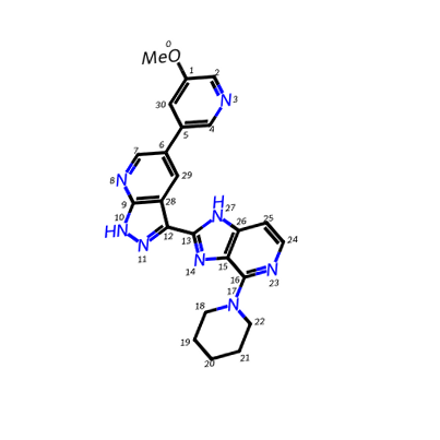 COc1cncc(-c2cnc3[nH]nc(-c4nc5c(N6CCCCC6)nccc5[nH]4)c3c2)c1